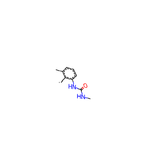 [CH2]c1c(C)cccc1NC(=O)NC